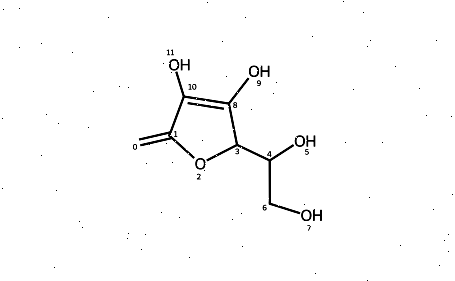 C=C1OC(C(O)CO)C(O)=C1O